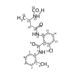 Cc1ccccc1NC(=O)c1c(Cl)cccc1NC(=O)CC(C)NC(=O)O